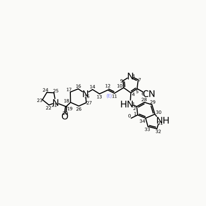 Cc1c(Nc2c(C#N)cncc2/C=C/CCN2CCC(C(=O)N3CCCC3)CC2)ccc2[nH]ccc12